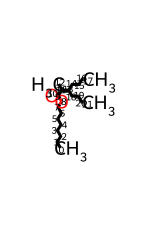 CCCCCCCCOC(=O)C(C)=C(CCCC)CCCC